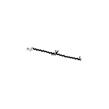 CCCCCCCCCCCCCCCCCCNC(CCCCCCCCCCCCCCCCC=C(F)F)=C(F)F